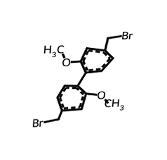 COc1cc(CBr)ccc1-c1ccc(CBr)cc1OC